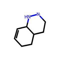 C1=CC2N[N]CCC2CC1